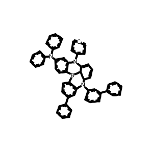 C1=CC2C3B(c4ccc(N(c5ccccc5)c5ccccc5)cc4N(c4ccccc4)C3=C1)c1ccc(-c3ccccc3)cc1N2c1cccc(-c2ccccc2)c1